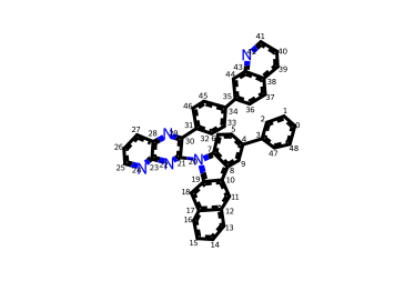 c1ccc(-c2ccc3c(c2)c2cc4ccccc4cc2n3-c2nc3ncccc3nc2-c2ccc(-c3ccc4cccnc4c3)cc2)cc1